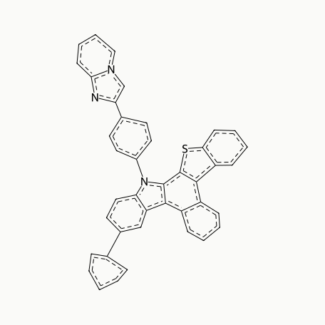 c1ccc(-c2ccc3c(c2)c2c4ccccc4c4c5ccccc5sc4c2n3-c2ccc(-c3cn4ccccc4n3)cc2)cc1